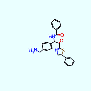 NCc1ccc(C(NC(=O)c2ccccc2)C(=O)c2ncc(-c3ccccc3)s2)cc1